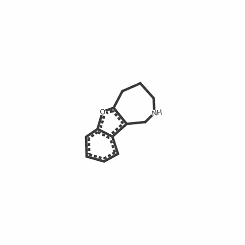 c1ccc2c3c(oc2c1)CCCNC3